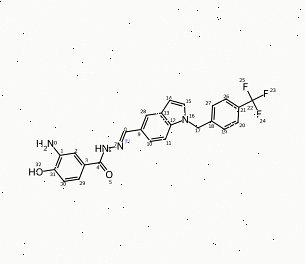 Nc1cc(C(=O)N/N=C/c2ccc3c(ccn3Cc3ccc(C(F)(F)F)cc3)c2)ccc1O